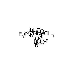 C[C@@H]1CN(C(=O)c2cc(F)ccc2-n2nccn2)[C@H](CNc2ncc(C(F)(F)F)cn2)[C@H](C)O1